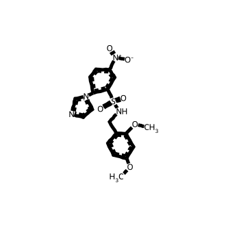 COc1ccc(CNS(=O)(=O)c2cc([N+](=O)[O-])ccc2-n2ccnc2)c(OC)c1